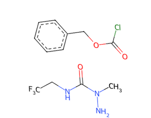 CN(N)C(=O)NCC(F)(F)F.O=C(Cl)OCc1ccccc1